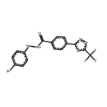 O=C(NNc1ccc(Br)cc1)c1ccc(-c2noc(C(F)(F)F)n2)cc1